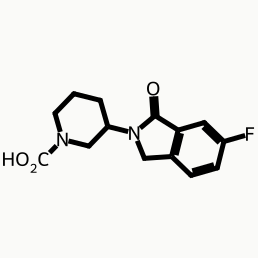 O=C(O)N1CCCC(N2Cc3ccc(F)cc3C2=O)C1